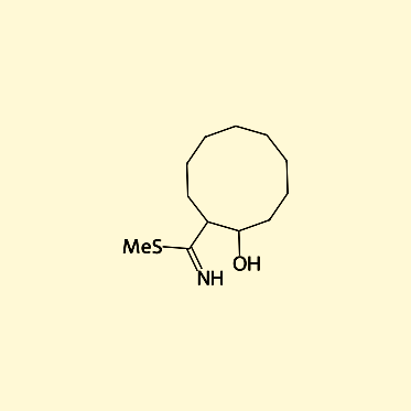 CSC(=N)C1CCCCCCCCC1O